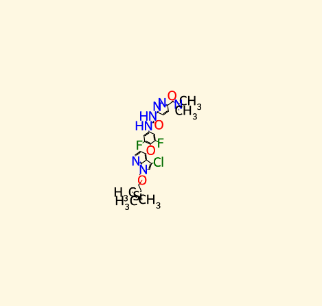 CN(C)C(=O)c1ccc(NC(=O)Nc2cc(F)c(Oc3ccnc4c3c(Cl)cn4COCC[Si](C)(C)C)c(F)c2)nn1